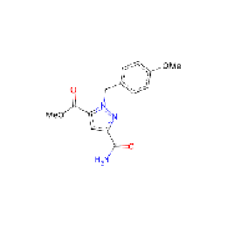 COC(=O)c1cc(C(N)=O)nn1Cc1ccc(OC)cc1